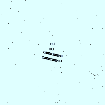 Cl.Cl.N=C=O.N=C=O